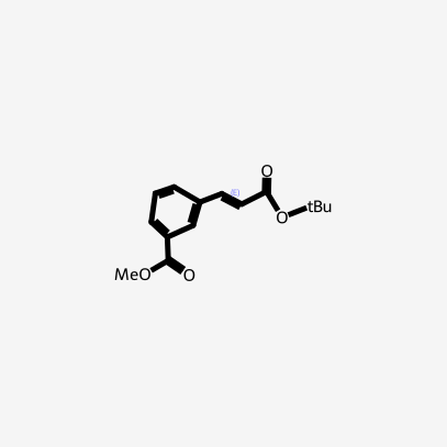 COC(=O)c1cccc(/C=C/C(=O)OC(C)(C)C)c1